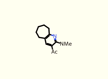 CNc1nc2c(cc1C(C)=O)CCCCC2